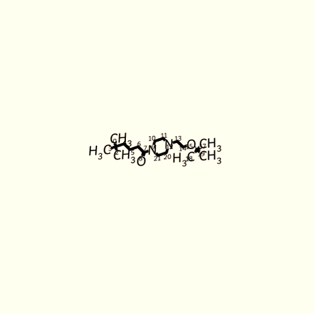 CC(C)(C)CCCC(=O)N1CCN(CCOC(C)(C)C)CC1